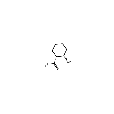 NC(=O)[C@@H]1CCCC[C@H]1O